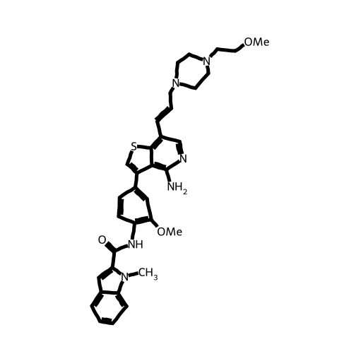 COCCN1CCN(CC=Cc2cnc(N)c3c(-c4ccc(NC(=O)c5cc6ccccc6n5C)c(OC)c4)csc23)CC1